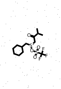 CC(C)C(=O)C[S+](CC1CCCCC1)OS(=O)(=O)C(F)(F)F